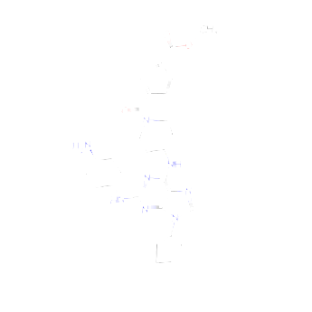 COC(=O)c1ccc(C(=O)N2CCC(Nc3nc(N[C@H]4CC[C@H](N)CC4)nc4c3ncn4C3CCCC3)CC2)cc1